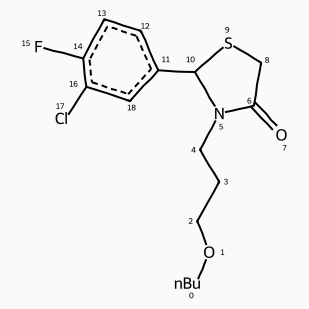 CCCCOCCCN1C(=O)CSC1c1ccc(F)c(Cl)c1